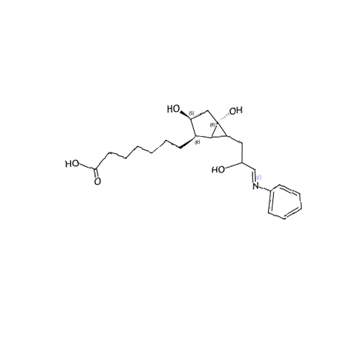 O=C(O)CCCCCC[C@@H]1C2C(CC(O)/C=N/c3ccccc3)[C@]2(O)C[C@@H]1O